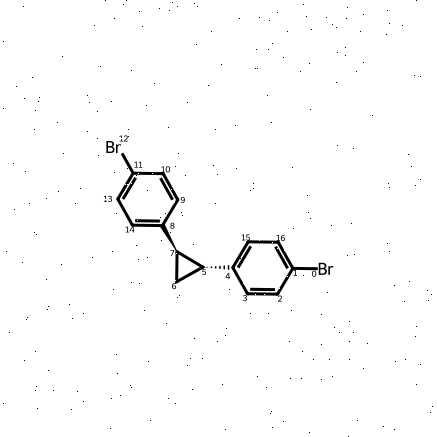 Brc1ccc([C@@H]2C[C@H]2c2ccc(Br)cc2)cc1